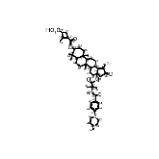 CC(C)C1=C2C3CCC4C(C)(CCC5C(C)(C)C(OC(=O)C6CC(C(=O)O)C6C)CCC54C)C3CCC2(NC(=O)C(C)(C)NC(=O)c2ccc(N3CCN(C)CC3)cc2)CC1=O